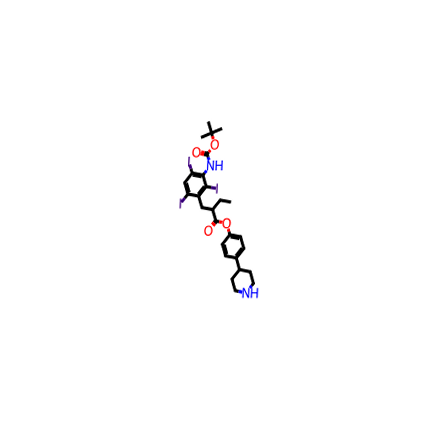 CCC(Cc1c(I)cc(I)c(NC(=O)OC(C)(C)C)c1I)C(=O)Oc1ccc(C2CCNCC2)cc1